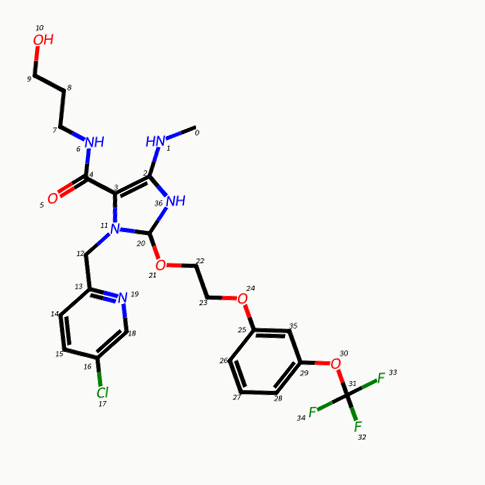 CNC1=C(C(=O)NCCCO)N(Cc2ccc(Cl)cn2)C(OCCOc2cccc(OC(F)(F)F)c2)N1